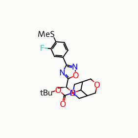 CSc1ccc(-c2noc([C@H](C)OC3C4COCC3CN(C(=O)OC(C)(C)C)C4)n2)cc1F